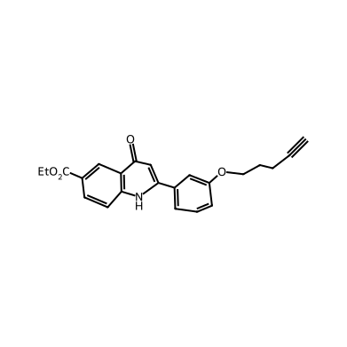 C#CCCCOc1cccc(-c2cc(=O)c3cc(C(=O)OCC)ccc3[nH]2)c1